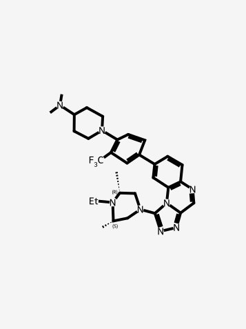 CCN1[C@H](C)CN(c2nnc3cnc4ccc(-c5ccc(N6CCC(N(C)C)CC6)c(C(F)(F)F)c5)cc4n23)C[C@@H]1C